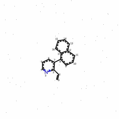 C=Cc1ncccc1-c1cccc2ccccc12